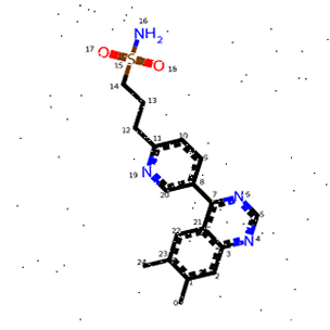 Cc1cc2ncnc(-c3ccc(CCCS(N)(=O)=O)nc3)c2cc1C